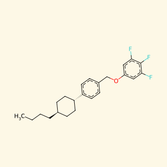 CCCC[C@H]1CC[C@H](c2ccc(COc3cc(F)c(F)c(F)c3)cc2)CC1